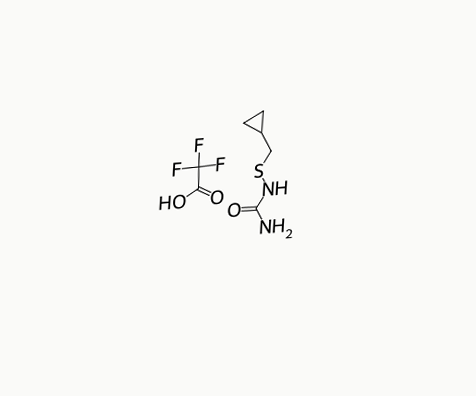 NC(=O)NSCC1CC1.O=C(O)C(F)(F)F